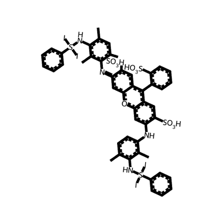 Cc1cc(C)c(NS(I)(I)c2ccccc2)c(C)c1/N=c1/cc2oc3cc(Nc4ccc(C)c(NS(I)(I)c5ccccc5)c4C)c(S(=O)(=O)O)cc3c(-c3ccccc3S(=O)(=O)O)c-2cc1S(=O)(=O)O